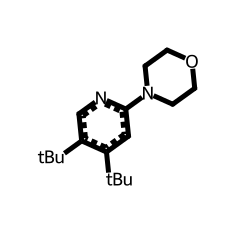 CC(C)(C)c1cnc(N2CCOCC2)cc1C(C)(C)C